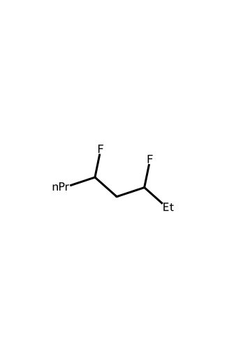 CCCC(F)CC(F)CC